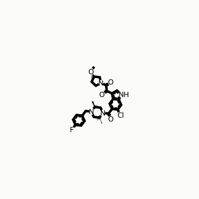 CO[C@@H]1CCN(C(=O)C(=O)c2c[nH]c3cc(Cl)c(C(=O)N4C[C@H](C)N(Cc5ccc(F)cc5)C[C@H]4C)cc23)C1